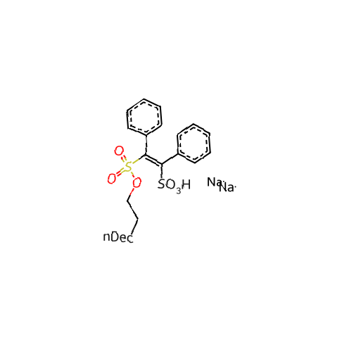 CCCCCCCCCCCCOS(=O)(=O)C(=C(c1ccccc1)S(=O)(=O)O)c1ccccc1.[Na].[Na]